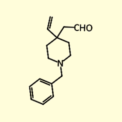 C=CC1(CC=O)CCN(Cc2ccccc2)CC1